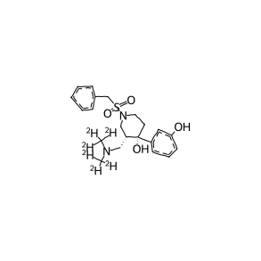 [2H]C([2H])([2H])N(C[C@@H]1CN(S(=O)(=O)Cc2ccccc2)CC[C@@]1(O)c1cccc(O)c1)C([2H])([2H])[2H]